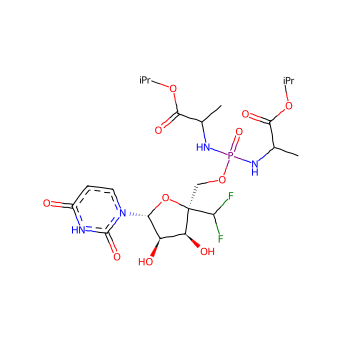 CC(C)OC(=O)C(C)NP(=O)(NC(C)C(=O)OC(C)C)OC[C@@]1(C(F)F)O[C@@H](n2ccc(=O)[nH]c2=O)[C@H](O)[C@@H]1O